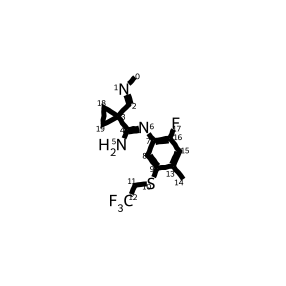 C/N=C/C1(/C(N)=N/c2cc(SCC(F)(F)F)c(C)cc2F)CC1